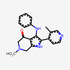 Cc1cnccc1-c1[nH]c2c(c1Nc1ccccc1)C(=O)CN(C(=O)O)C2